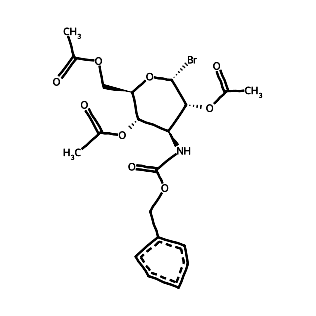 CC(=O)OC[C@H]1O[C@H](Br)[C@H](OC(C)=O)[C@@H](NC(=O)OCc2ccccc2)[C@@H]1OC(C)=O